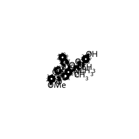 COc1cccc(OC(=O)N2CCc3cc(-c4cc(C(=O)N(C)c5ccc(O)cc5)c(C)n4C)c(C(=O)N4Cc5ccccc5C[C@H]4CN4CCOCC4)cc3C2)c1